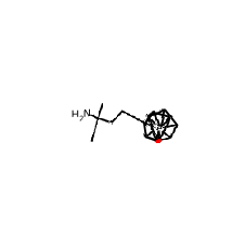 CC(C)(N)CC[C]12[CH]3[CH]4[CH]5[CH]1[Fe]45321678[CH]2[CH]1[CH]6[CH]7[CH]28